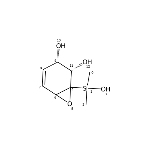 C[Si](C)(O)C12OC1C=C[C@H](O)[C@@H]2O